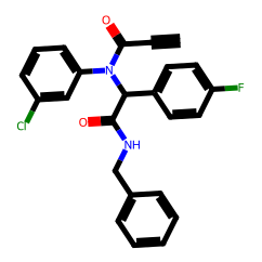 C#CC(=O)N(c1cccc(Cl)c1)C(C(=O)NCc1ccccc1)c1ccc(F)cc1